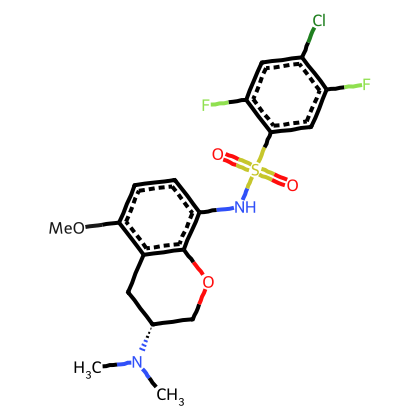 COc1ccc(NS(=O)(=O)c2cc(F)c(Cl)cc2F)c2c1C[C@@H](N(C)C)CO2